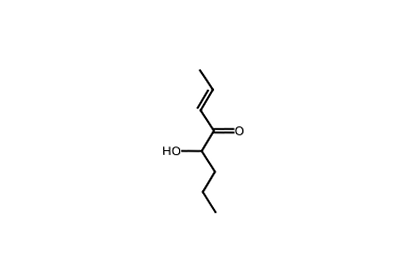 C/C=C/C(=O)C(O)CCC